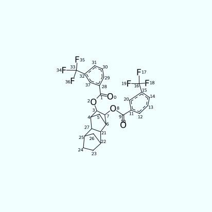 O=C(OC1C2CC(C1OC(=O)c1cccc(C(F)(F)F)c1)C1C3CCC(C3)C21)c1cccc(C(F)(F)F)c1